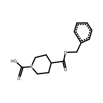 O=C(OCc1ccccc1)C1CCN(C(=O)O)CC1